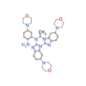 C=C1N(c2cc(N3CCOCC3)ccc2N)c2nc3ccc(N4CCOCC4)cc3n2-c2nc3ccc(N4CCOCC4)cc3n21